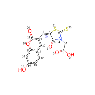 O=C(O)CN1C(=O)/C(=C\c2cc3ccc(O)cc3oc2=O)SC1=S